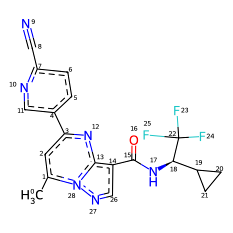 Cc1cc(-c2ccc(C#N)nc2)nc2c(C(=O)N[C@H](C3CC3)C(F)(F)F)cnn12